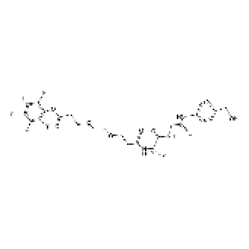 CC(C)[C@H](NC(=O)CCOCCOCCC(=O)Oc1c(F)c(F)c(F)c(F)c1F)C(=O)NCC(=O)Nc1ccc(CO)cc1